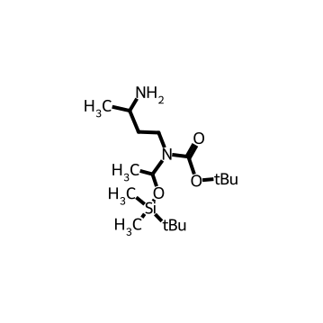 CC(N)CCN(C(=O)OC(C)(C)C)C(C)O[Si](C)(C)C(C)(C)C